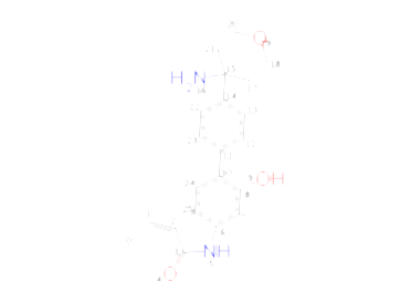 C/C=C1\C(=O)Nc2cc(O)c(-c3ccc(C4(N)CCOCC4)cc3)cc21